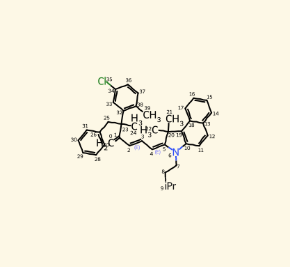 C=C(/C=C/C=C1/N(CCC(C)C)c2ccc3ccccc3c2C1(C)C)C(C)(Cc1ccccc1)c1cc(Cl)ccc1C